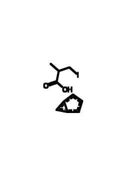 CC(CI)C(=O)O.c1cc2cc-2c1